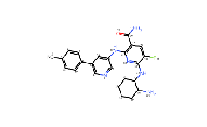 N#Cc1ccc(-c2cncc(Nc3nc(NC4CCCC[C@@H]4N)c(F)cc3C(N)=O)c2)cc1